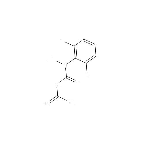 CCc1cccc(Br)c1N(C)C(=O)NC(=N)N